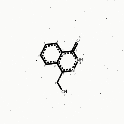 N#CCc1n[nH]c(=O)c2ccccc12